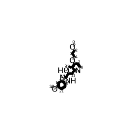 COCCCOc1ccnc(CC(O)c2nc3cc(OC)ccc3[nH]2)c1C